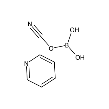 N#COB(O)O.c1ccncc1